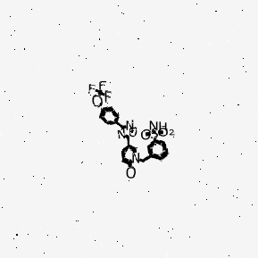 NS(=O)(=O)c1cccc(Cn2cc(-c3nc(-c4ccc(OC(F)(F)F)cc4)no3)ccc2=O)c1